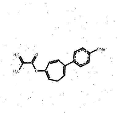 C=C(C)C(=O)OC1=CCC=C(c2ccc(OC)cc2)C=C1